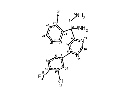 NCC(N)(c1cc(-c2ccc(C(F)(F)F)c(Cl)c2)ncn1)c1ccccc1F